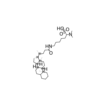 C[C@H](CCC(=O)NCCCCCC(N(C)C)S(=O)(=O)O)[C@H]1CC[C@H]2[C@@H]3CCC4CCCC[C@]4(C)[C@H]3CC[C@]12C